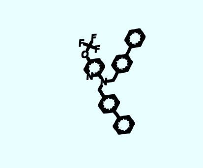 FC(F)(F)Oc1ccc(N(Cc2ccc(-c3ccccc3)cc2)Cc2ccc(-c3ccccc3)cc2)nc1